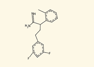 Cc1ccccc1C(CCc1cc(F)cc(F)c1)C(=N)N